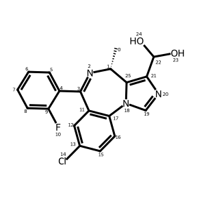 C[C@H]1N=C(c2ccccc2F)c2cc(Cl)ccc2-n2cnc(C(O)O)c21